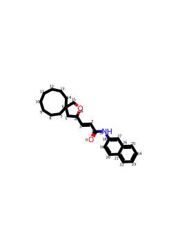 O=C(/C=C/C1CC2(CCCCCCCC2)CO1)Nc1ccc2ccccc2c1